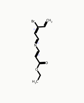 C=C\C(Br)=C/C=N/C=C/C(=O)OCC